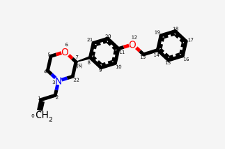 C=CCN1CCO[C@@H](c2ccc(OCc3ccccc3)cc2)C1